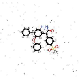 CCS(=O)(=O)c1ccc(C(C(N)=O)c2ccc(-c3ccccc3)c(Oc3ccccc3)c2)cc1